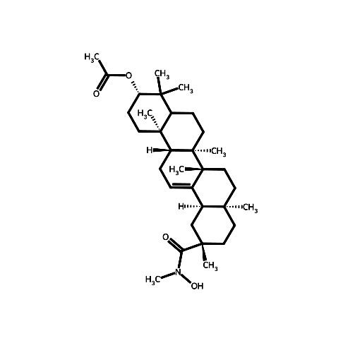 CC(=O)O[C@H]1CC[C@@]2(C)C(CC[C@]3(C)[C@@H]2CC=C2[C@@H]4C[C@@](C)(C(=O)N(C)O)CC[C@]4(C)CC[C@]23C)C1(C)C